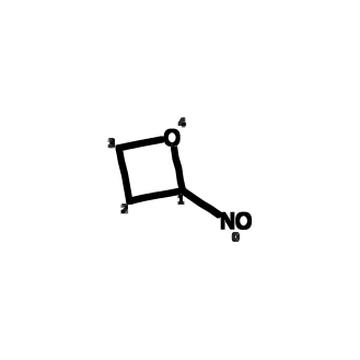 O=NC1CCO1